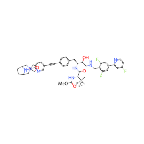 COC(=O)NC(C(=O)N[C@@H](Cc1ccc(C#Cc2ccc(N3CC4CCC(C3)N4C3COC3)nc2)cc1)[C@@H](O)CNCc1c(F)cc(-c2cc(F)ccn2)cc1F)C(C)(C)C(F)(F)F